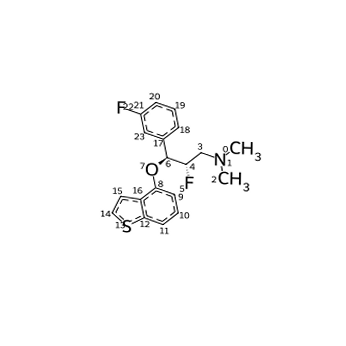 CN(C)C[C@H](F)[C@@H](Oc1cccc2sccc12)c1cccc(F)c1